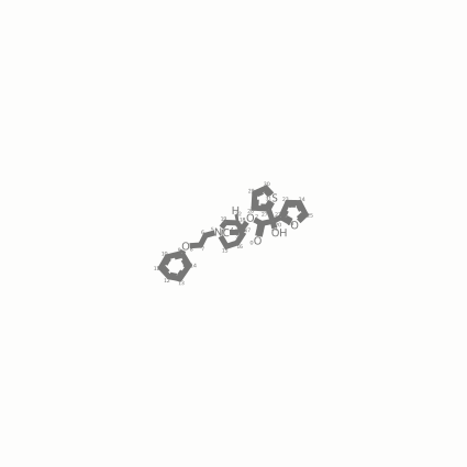 O=C(O[C@H]1C[N+]2(CCOc3ccccc3)CCC1CC2)C(O)(c1ccco1)c1cccs1